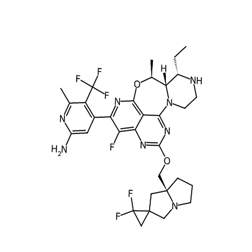 CC[C@@H]1NCCN2c3nc(OC[C@@]45CCCN4CC4(CC4(F)F)C5)nc4c(F)c(-c5cc(N)nc(C)c5C(F)(F)F)nc(c34)O[C@@H](C)[C@H]12